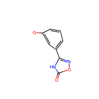 [O]c1cccc(-c2noc(=O)[nH]2)c1